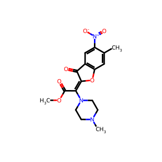 COC(=O)C(=C1Oc2cc(C)c([N+](=O)[O-])cc2C1=O)N1CCN(C)CC1